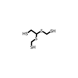 SCSC(CS)SCS